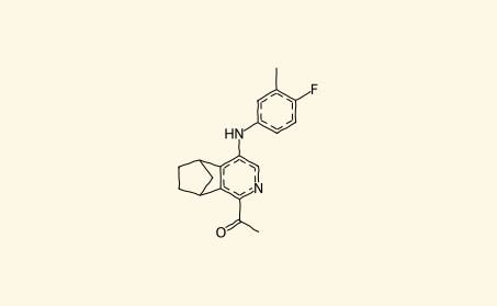 CC(=O)c1ncc(Nc2ccc(F)c(C)c2)c2c1C1CCC2C1